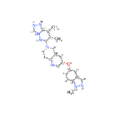 Cc1c(N2CCc3ncc(Oc4ccc5c(cnn5C)c4)cc3C2)nn2cnnc2c1C